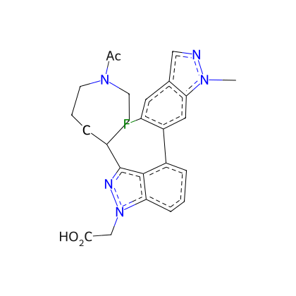 CC(=O)N1CCCC(c2nn(CC(=O)O)c3cccc(-c4cc5c(cnn5C)cc4F)c23)CC1